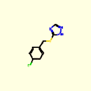 Clc1ccc(CSc2ncn[nH]2)cc1